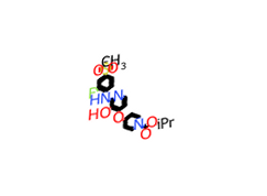 CC(C)OC(=O)N1CCC(Oc2ccnc(Nc3ccc(S(C)(=O)=O)cc3F)c2O)CC1